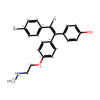 CC/C(=C(\c1ccc(O)cc1)c1ccc(OCCNC(=O)O)cc1)c1ccc(CC)cc1